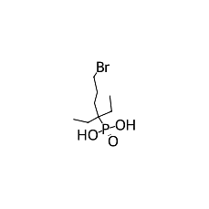 CCC(CC)(CCCBr)P(=O)(O)O